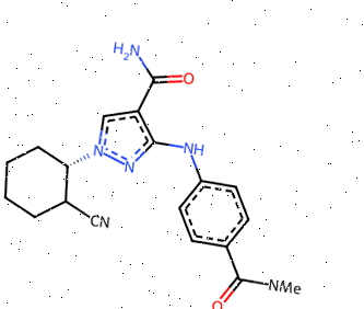 CNC(=O)c1ccc(Nc2nn([C@H]3CCCCC3C#N)cc2C(N)=O)cc1